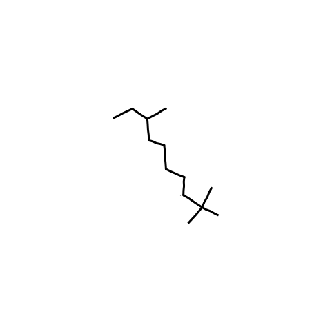 CCC(C)CCCC[CH]C(C)(C)C